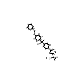 CC(C)C(C)(c1ccc(-c2noc(C3(N)CC3)n2)cc1)c1ccc(OCc2ncccn2)cn1